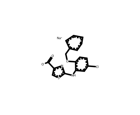 O=C([O-])c1csc(Nc2cc(Cl)ccc2OCc2ccccc2)n1.[Na+]